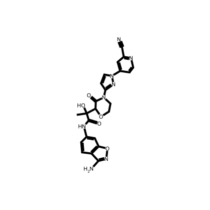 CC(O)(C(=O)Nc1ccc2c(N)noc2c1)C1OCCN(c2ccn(-c3ccnc(C#N)c3)n2)C1=O